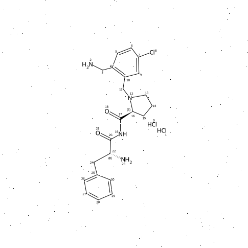 Cl.Cl.NCc1ccc(Cl)cc1CN1CCC[C@H]1C(=O)NC(=O)[C@H](N)Cc1ccccc1